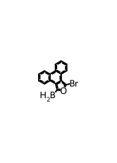 Bc1oc(Br)c2c3ccccc3c3ccccc3c12